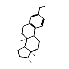 C[C@]12CC[C@@H]3c4ccc(CO)cc4CC[C@H]3[C@@H]1CC[C@@H]2C=O